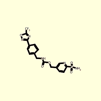 NS(=O)(=O)c1ccc(COC(=O)NCc2ccc(-c3noc(C(F)(F)F)n3)cc2)cn1